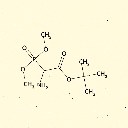 COP(=O)(OC)C(N)C(=O)OC(C)(C)C